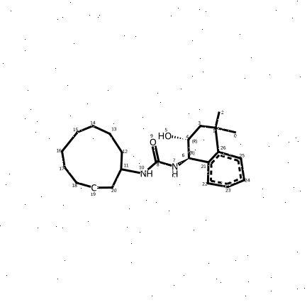 CC1(C)C[C@@H](O)[C@H](NC(=O)NC2CCCCCCCCC2)c2ccccc21